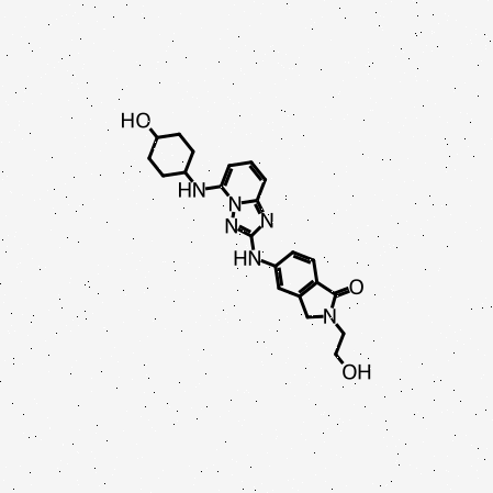 O=C1c2ccc(Nc3nc4cccc(NC5CCC(O)CC5)n4n3)cc2CN1CCO